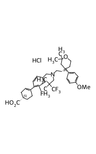 COc1ccc([C@]2(CCN(Cc3ccc(C4=CC[C@@H](C(=O)O)CC4)c(F)c3)CC(C)(C)C(F)(F)F)CCOC(C)(C)C2)cc1.Cl